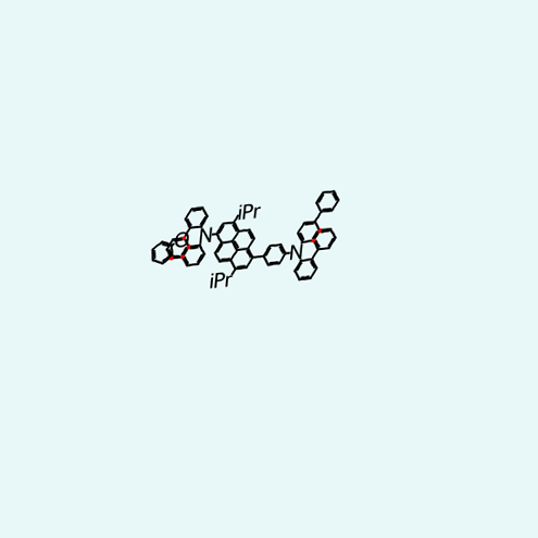 CC(C)c1cc(-c2ccc(N(c3ccc(-c4ccccc4)cc3)c3ccccc3-c3ccccc3)cc2)c2ccc3c(C(C)C)cc(N(c4ccccc4-c4ccccc4)c4cccc5c4oc4ccccc45)c4ccc1c2c34